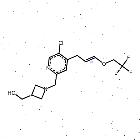 OCC1CN(Cc2cc(C/C=C/OCC(F)(F)F)c(Cl)cn2)C1